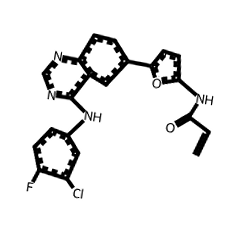 C=CC(=O)Nc1ccc(-c2ccc3ncnc(Nc4ccc(F)c(Cl)c4)c3c2)o1